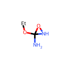 CCOC1(N)NO1